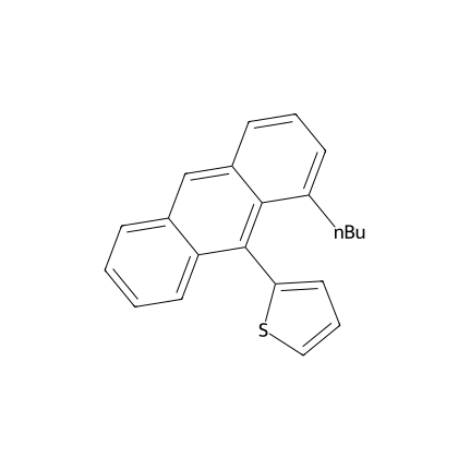 CCCCc1cccc2cc3ccccc3c(-c3cccs3)c12